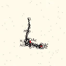 COc1cc(C(=O)Nc2ccc3c(c2)C(=O)OC32c3ccc(OC(C)=O)cc3Oc3c2ccc(OC(C)=O)c3CN(C)Cc2cn(CCOCCOCC(=O)NCCOCCOCCCCCCCl)nn2)ccc1N(CC(=O)OCOC(C)=O)CC(=O)OCOC(C)=O